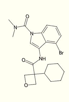 CN(C)C(=O)n1cc(NC(=O)C2(C3CCCCC3)COC2)c2c(Br)cccc21